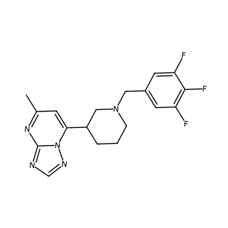 Cc1cc(C2CCCN(Cc3cc(F)c(F)c(F)c3)C2)n2ncnc2n1